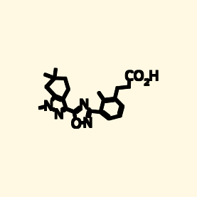 Cc1c(CCC(=O)O)cccc1-c1noc(-c2nn(C)c3c2CCC(C)(C)C3)n1